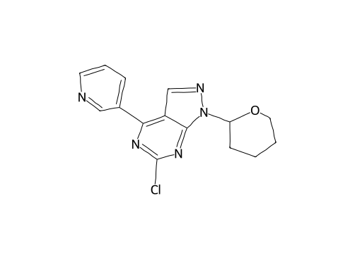 Clc1nc(-c2cccnc2)c2cnn(C3CCCCO3)c2n1